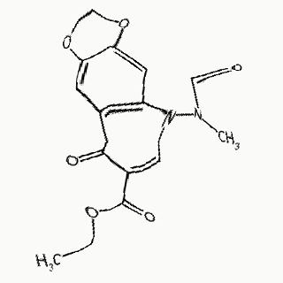 CCOC(=O)c1cn(N(C)C=O)c2cc3c(cc2c1=O)OCO3